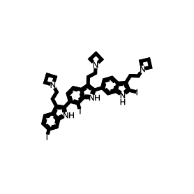 Ic1ccc2c(CCN3CCC3)c(-c3ccc4c(CCN5CCC5)c(-c5ccc6c(CCN7CCC7)c(I)[nH]c6c5)[nH]c4c3I)[nH]c2c1